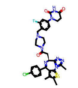 Cc1sc2c(c1C)C(c1ccc(Cl)cc1)=N[C@@H](CC(=O)N1CCN(Cc3ccc(N4CCC(=O)NC4=O)cc3F)CC1)c1nnc(C)n1-2